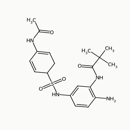 CC(=O)NC1=CCC(S(=O)(=O)Nc2ccc(N)c(NC(=O)C(C)(C)C)c2)C=C1